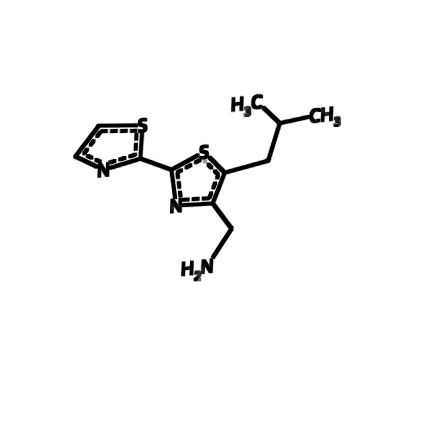 CC(C)Cc1sc(-c2nccs2)nc1CN